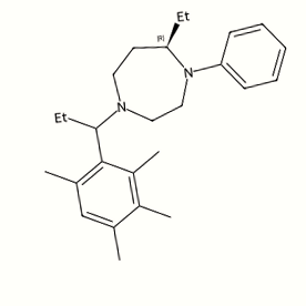 CCC(c1c(C)cc(C)c(C)c1C)N1CC[C@@H](CC)N(c2ccccc2)CC1